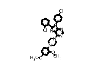 COc1ccc(N2CCN(c3ncnc4c3nc(-c3ccccc3Cl)n4-c3ccc(Cl)cc3)CC2)c(OC)c1